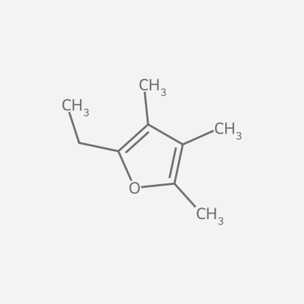 CCc1oc(C)c(C)c1C